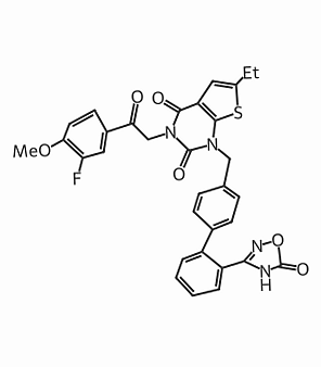 CCc1cc2c(=O)n(CC(=O)c3ccc(OC)c(F)c3)c(=O)n(Cc3ccc(-c4ccccc4-c4noc(=O)[nH]4)cc3)c2s1